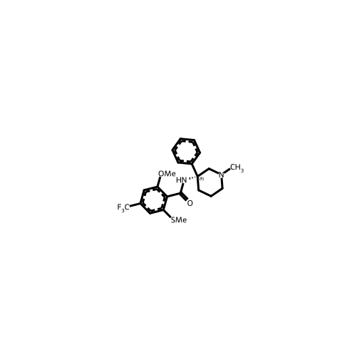 COc1cc(C(F)(F)F)cc(SC)c1C(=O)N[C@@]1(c2ccccc2)CCCN(C)C1